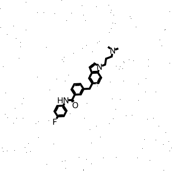 CN(C)CCCn1ccc2cc(Cc3cccc(C(=O)Nc4ccc(F)cc4)c3)ccc21